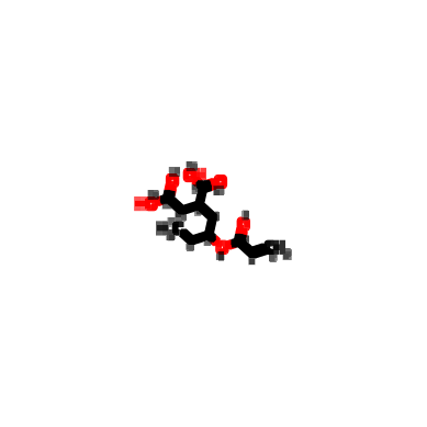 C=CC(=O)OC(CC)CC(CC(=O)O)C(=O)O